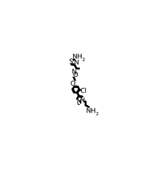 C/C(=N\OCCOc1ccc(-c2cn(CCCN)[n+](C)c2)c(Cl)c1)c1csc(N)n1